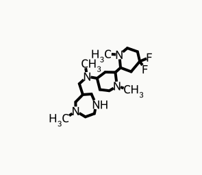 CN1CCNCC(CN(C)C2CCN(C)C(C3CC(F)(F)CCN3C)C2)C1